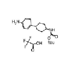 CC(C)(C)OC(=O)NC1CCC(c2ccc(N)cc2)CC1.O=C(O)C(F)(F)F